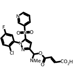 CNC(OC(=O)/C=C/C(=O)O)c1cc(S(=O)(=O)c2cccnc2)n(-c2cc(F)ccc2Cl)n1